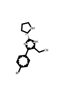 N#CCc1[nH]c([C@@H]2CCCN2)nc1-c1ccc(Br)cc1